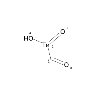 O=[C][Te](=O)O